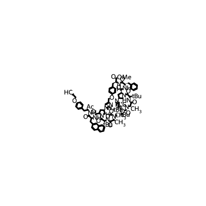 C#CCOc1ccc(CC(NC(=O)C(Cc2ccc3ccccc3c2)NC(=O)C2C[C@H](n3cc(COc4ccc(C[C@H](NC(=O)[C@H](Cc5ccccc5)NC(=O)[C@@H]5C[C@H](N=[N+]=[N-])CN5C(=O)C(NC(=O)C(C)N(C)C(=O)OC(C)(C)C)C(C)(C)C)C(=O)OC)cc4)nn3)CN2C(=O)[C@@H](NC(=O)C(C)N(C)C(=O)OC(C)(C)C)C(C)(C)C)C(C)=O)cc1